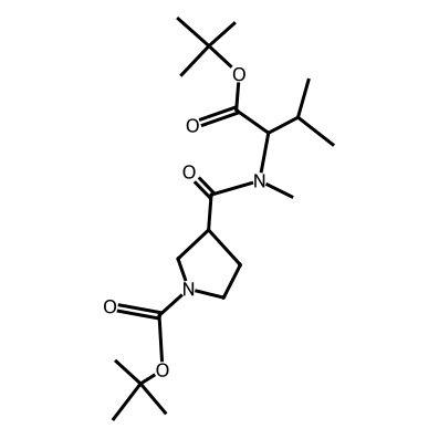 CC(C)C(C(=O)OC(C)(C)C)N(C)C(=O)C1CCN(C(=O)OC(C)(C)C)C1